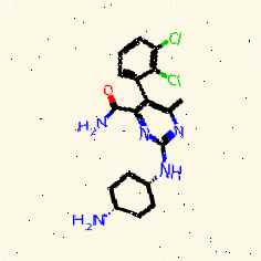 Cc1nc(N[C@H]2CC[C@@H](N)CC2)nc(C(N)=O)c1-c1cccc(Cl)c1Cl